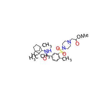 COC(=O)CN1CCN(S(=O)(=O)c2cc(C(=O)NC3C(C)(C)[C@@H]4CC[C@]3(C)C4)ccc2C)CC1